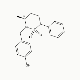 C[C@H]1CCC(c2ccccc2)S(=O)(=O)N1Cc1ccc(O)cc1